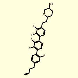 C=CCCc1ccc(-c2ccc(-c3ccc(CCC4CCC(CCC)CO4)c(F)c3F)c(F)c2F)c(F)c1